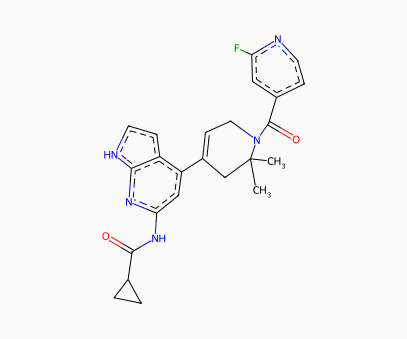 CC1(C)CC(c2cc(NC(=O)C3CC3)nc3[nH]ccc23)=CCN1C(=O)c1ccnc(F)c1